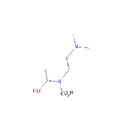 CC(O)N(CCN(C)C)C(=O)O